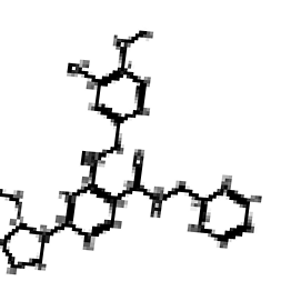 COc1ccc(CNc2nc(N3CCC[C@@H]3CO)ncc2C(=O)NCc2ncccn2)cc1Cl